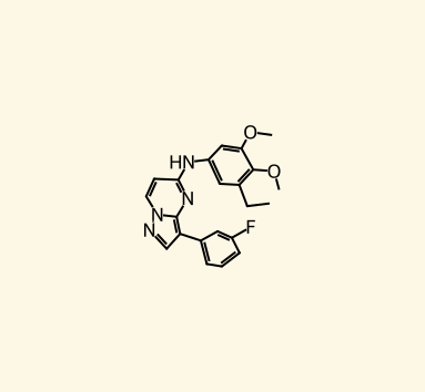 CCc1cc(Nc2ccn3ncc(-c4cccc(F)c4)c3n2)cc(OC)c1OC